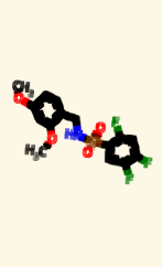 COc1ccc(CNS(=O)(=O)c2cc(F)c(F)cc2F)c(OC)c1